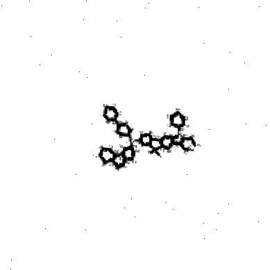 CC1(C)c2cc(N(c3ccc(-c4ccccc4)cc3)c3ccc4ccc5ccccc5c4c3)ccc2-c2cc3c(cc21)c1ccccc1n3-c1ccccc1